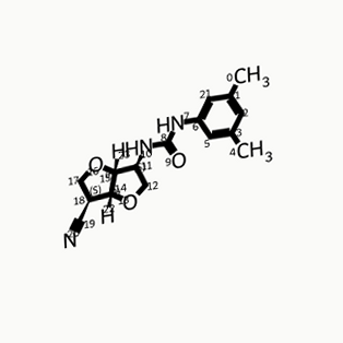 Cc1cc(C)cc(NC(=O)N[C@H]2CO[C@H]3[C@@H]2OC[C@@H]3C#N)c1